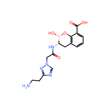 NCCc1ncn(CC(=O)N[C@H]2Cc3cccc(C(=O)O)c3OB2O)n1